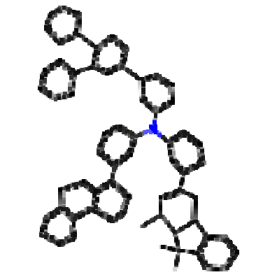 CC1C=C(c2cccc(N(c3cccc(-c4ccc(-c5ccccc5)c(-c5ccccc5)c4)c3)c3cccc(-c4cccc5c4ccc4ccccc45)c3)c2)C=C2c3ccccc3C(C)(C)C21